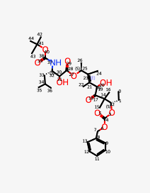 CC[C@H](OC(=O)OCc1ccccc1)C(C)(C)C(=O)[C@H](O)/C(C)=C(\C)[C@H](C)OC(=O)C(O)[C@H](CC(C)C)NC(=O)OC(C)(C)C